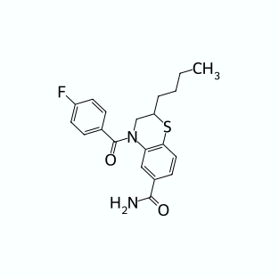 CCCCC1CN(C(=O)c2ccc(F)cc2)c2cc(C(N)=O)ccc2S1